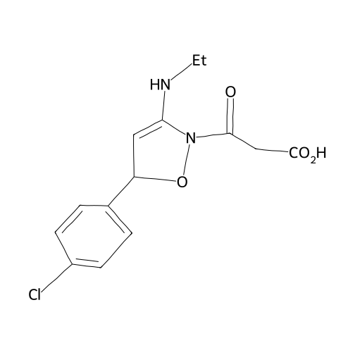 CCNC1=CC(c2ccc(Cl)cc2)ON1C(=O)CC(=O)O